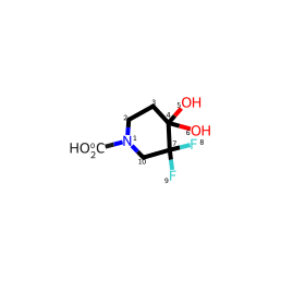 O=C(O)N1CCC(O)(O)C(F)(F)C1